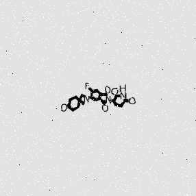 O=C1CCC2(CC1)CN(c1cc3c(cc1F)C(=O)N(C1CCC(=O)NC1=O)C3=O)C2